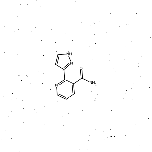 NC(=O)c1cccnc1-c1cc[nH]n1